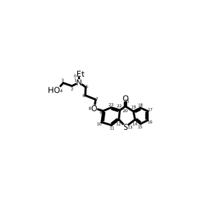 CCN(CCO)CCCOc1ccc2sc3ccccc3c(=O)c2c1